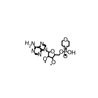 COC1C(COP(=O)(O)N2CCOCC2)OC(n2cnc3c(N)ncnc32)C1OC